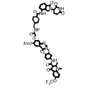 COc1cc2c(Oc3ccc(NC(=O)c4c(C)n(C)c5ccc(OC(F)(F)F)cc5c4=O)cc3F)ncnc2cc1OCC(=O)NCC1CCC(C(=O)Nc2cccc3c2CN(C2CCC(=O)NC2=O)C3=O)CC1